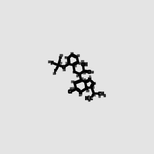 CC(C)c1cnc2c(N(Cc3ccccc3OC(F)(F)F)C(=O)O)cc(Cl)nn12